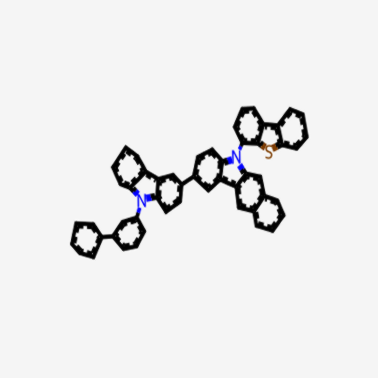 c1ccc(-c2cccc(-n3c4ccccc4c4cc(-c5ccc6c(c5)c5cc7ccccc7cc5n6-c5cccc6c5sc5ccccc56)ccc43)c2)cc1